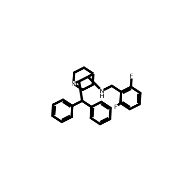 Fc1cccc(F)c1CNC1C2CCN(CC2)C1C(c1ccccc1)c1ccccc1